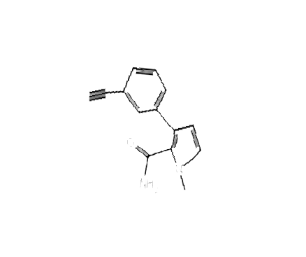 C#Cc1cccc(-c2ccn(C)c2C(N)=O)c1